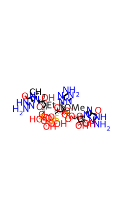 CC[C@H]1[C@@H](O)[C@H](n2c[n+](C)c3c(=O)[nH]c(N)nc32)O[C@@H]1COP(=O)(O)OP(=O)(O)OP(=O)(O)SC[C@H]1O[C@@H](n2cnc3c(N)ncnc32)[C@H](OC)[C@@H]1OP(=O)([O-])OC[C@H]1O[C@@H](n2cnc3c(=O)[nH]c(N)nc32)[C@H](O)[C@@H]1O